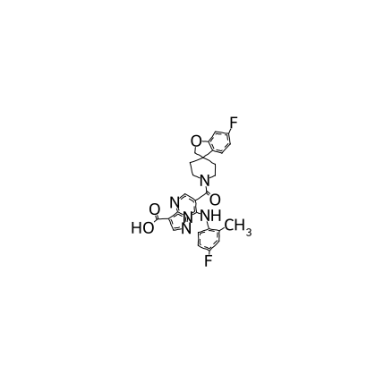 Cc1cc(F)ccc1Nc1c(C(=O)N2CCC3(CC2)COc2cc(F)ccc23)cnc2c(C(=O)O)cnn12